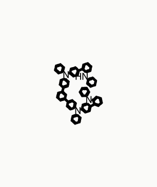 C1=CC(Nc2ccccc2-c2ccc(N(c3ccccc3)c3ccc(-c4cccc(-c5ccc(N(c6ccccc6)c6ccc7c8ccccc8n(-c8ccccc8)c7c6)cc5)c4)cc3)cc2)=CCC1